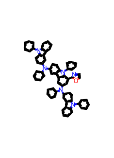 c1ccc(N(c2ccc3c(c2)c2ccccc2n3-c2ccccc2)c2ccc3c(c2)c2cc(N(c4ccccc4)c4ccc5c(c4)c4ccccc4n5-c4ccccc4)cc(-c4ncco4)c2n3-c2ccccc2)cc1